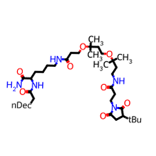 CCCCCCCCCCCC(=O)NC(CCCCNC(=O)CCOC(C)(C)CCOC(C)(C)CCNC(=O)CCN1C(=O)CC(C(C)(C)C)C1=O)C(N)=O